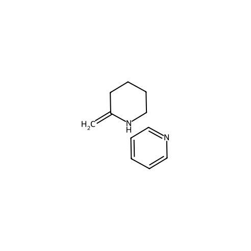 C=C1CCCCN1.c1ccncc1